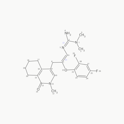 CN(C)/C(N)=N\C=C(/Cc1cn(C)c(=O)c2c1CCCC2)Oc1ccc(F)cc1F